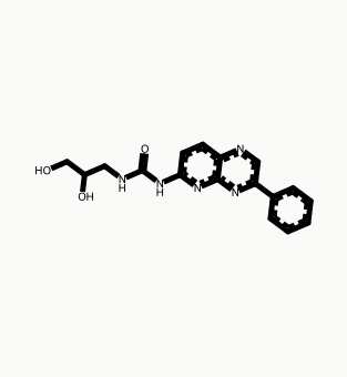 O=C(NCC(O)CO)Nc1ccc2ncc(-c3ccccc3)nc2n1